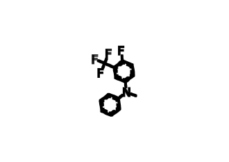 CN(c1ccccc1)c1ccc(F)c(C(F)(F)F)c1